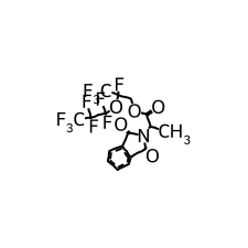 CC(C(=O)OCC(F)(OC(F)(F)C(F)(F)C(F)(F)F)C(F)(F)F)N1C(=O)c2ccccc2C1=O